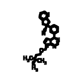 CS(C)(C)CCOCN1C=CC2C1=NC=NC2c1cccc(C2(C#N)Cc3cccnc3C2)c1